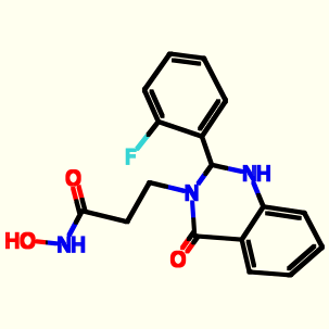 O=C(CCN1C(=O)c2ccccc2NC1c1ccccc1F)NO